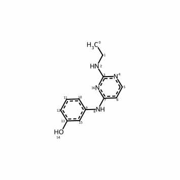 CCNc1nccc(Nc2cccc(O)c2)n1